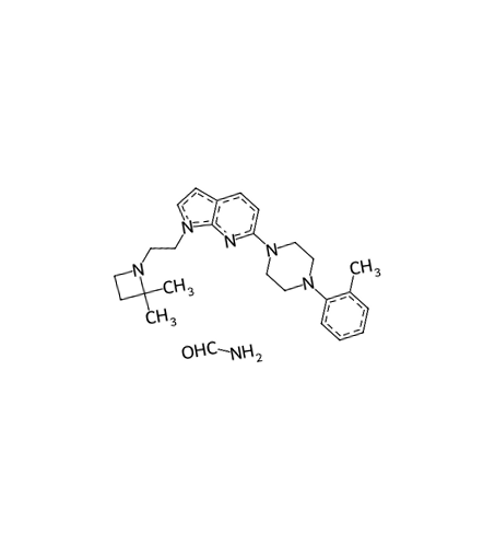 Cc1ccccc1N1CCN(c2ccc3ccn(CCN4CCC4(C)C)c3n2)CC1.NC=O